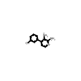 Nc1nccc(-c2cccc(Cl)c2)c1N